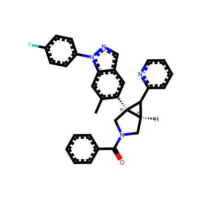 Cc1cc2c(cnn2-c2ccc(F)cc2)cc1[C@@]12CN(C(=O)c3ccccc3)C[C@@H]1C2c1ccccn1